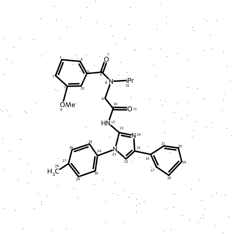 COc1cccc(C(=O)N(CC(=O)Nc2nc(-c3ccccc3)cn2-c2ccc(C)cc2)C(C)C)c1